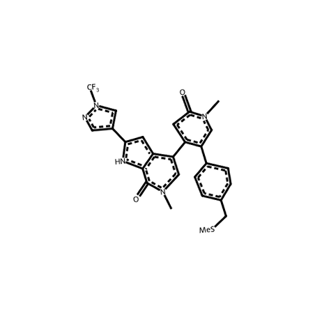 CSCc1ccc(-c2cn(C)c(=O)cc2-c2cn(C)c(=O)c3[nH]c(-c4cnn(C(F)(F)F)c4)cc23)cc1